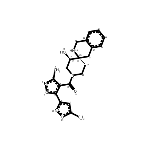 Cc1cc(-c2onc(C)c2C(=O)N2CC[C@]3(Cc4ccccc4CN3)[C@H](O)C2)no1